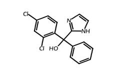 OC(c1ccccc1)(c1ncc[nH]1)c1ccc(Cl)cc1Cl